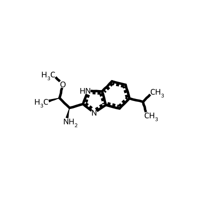 CO[C@H](C)[C@H](N)c1nc2cc(C(C)C)ccc2[nH]1